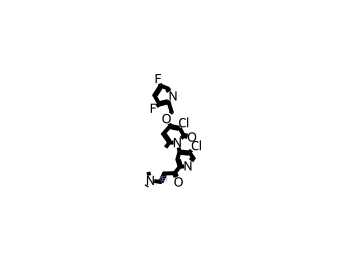 Cc1cc(OCc2ncc(F)cc2F)c(Cl)c(=O)n1-c1cc(C(=O)/C=C/N(C)C)ncc1Cl